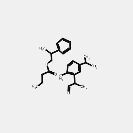 CCCC(=O)OCC(C)c1ccccc1.Cc1ccc(C(C)C)cc1C(C)C=O